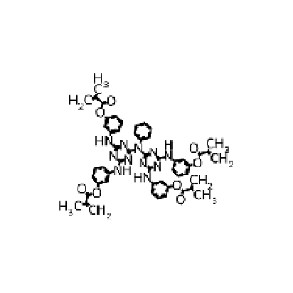 C=C(C)C(=O)Oc1cccc(Nc2nc(Nc3cccc(OC(=O)C(=C)C)c3)nc(N(c3ccccc3)c3nc(Nc4cccc(OC(=O)C(=C)C)c4)nc(Nc4cccc(OC(=O)C(=C)C)c4)n3)n2)c1